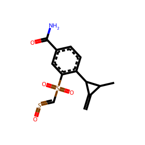 C=C1C(C)C1c1ccc(C(N)=O)cc1S(=O)(=O)C=S=O